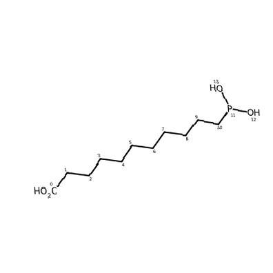 O=C(O)CCCCCCCCCCP(O)O